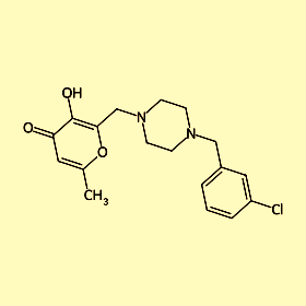 Cc1cc(=O)c(O)c(CN2CCN(Cc3cccc(Cl)c3)CC2)o1